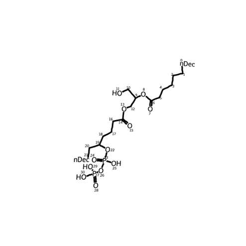 CCCCCCCCCCCCCCCC(=O)OC(CO)COC(=O)CCCC(CCCCCCCCCCC)OP(=O)(O)OP(=O)(O)O